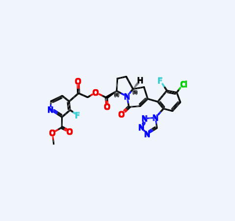 COC(=O)c1nccc(C(=O)COC(=O)[C@H]2CC[C@H]3CC(c4c(-n5cnnn5)ccc(Cl)c4F)=CC(=O)N32)c1F